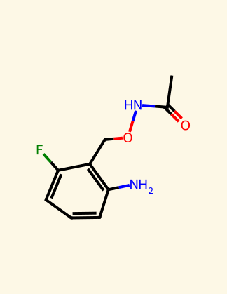 CC(=O)NOCc1c(N)cccc1F